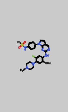 COc1cc(N2CCN(C)CC2)c(F)cc1Nc1ncc2ccn(-c3ccc(NS(=O)(=O)C(C)C)cc3)c2n1